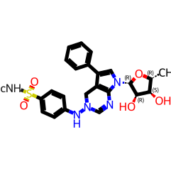 CC(=O)NS(=O)(=O)c1ccc(NN2C=Nc3c(c(-c4ccccc4)cn3[C@@H]3O[C@H](C)[C@@H](O)[C@H]3O)C2)cc1